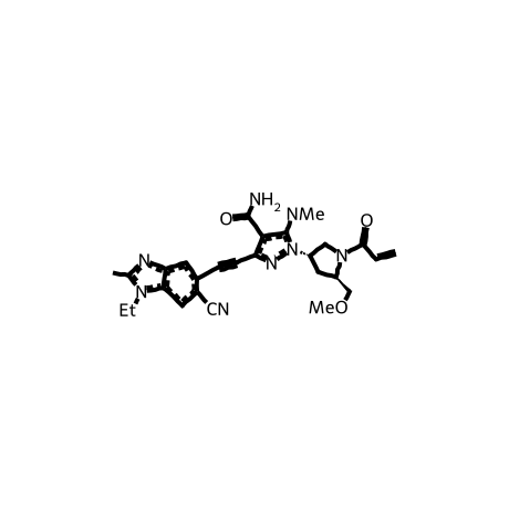 C=CC(=O)N1C[C@@H](n2nc(C#Cc3cc4nc(C)n(CC)c4cc3C#N)c(C(N)=O)c2NC)C[C@@H]1COC